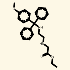 CCOC(=O)CNCCNC(c1ccccc1)(c1ccccc1)c1ccc(OC)cc1